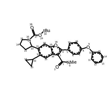 CNC(=O)c1c(-c2ccc(Oc3ccccc3)cc2)oc2cc(C3CCCN3C(=O)OC(C)(C)C)c(C3CC3)cc12